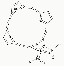 O=[N+]([O-])c1c([N+](=O)[O-])c2cc3nc(cc4ccc(cc5nc(cc1n2[N+](=O)[O-])C=C5)[nH]4)C=C3